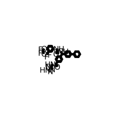 O=C(Nc1ccc2c(c1)C(F)(F)OC(F)(F)O2)NC(c1ccc(C(=O)Nc2nn[nH]n2)cc1)c1ccc(C2=CCCCC2)cc1